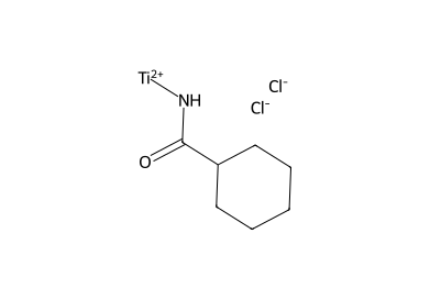 O=C([NH][Ti+2])C1CCCCC1.[Cl-].[Cl-]